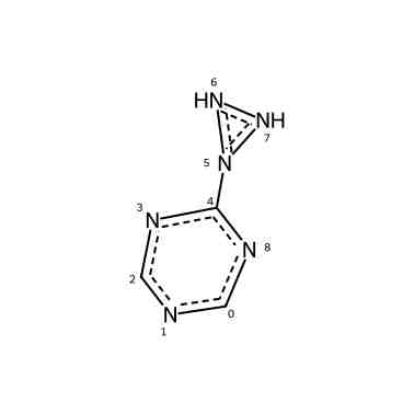 c1ncnc(-n2[nH][nH]2)n1